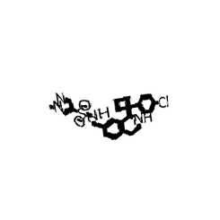 Cn1cc(S(=O)(=O)NCc2ccc3c(c2)C(C2(c4ccc(Cl)cc4)CCC2)NCC3)cn1